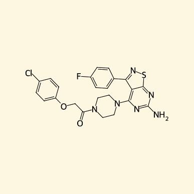 Nc1nc(N2CCN(C(=O)COc3ccc(Cl)cc3)CC2)c2c(-c3ccc(F)cc3)nsc2n1